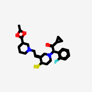 CC1OC(C2CCCN(C/C=C3\CN(C(C(=O)C4CC4)c4ccccc4F)CCC3S)C2)O1